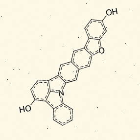 Oc1ccc2c(c1)oc1cc3cc4c(cc3cc12)c1ccc(O)c2c3ccccc3n4c12